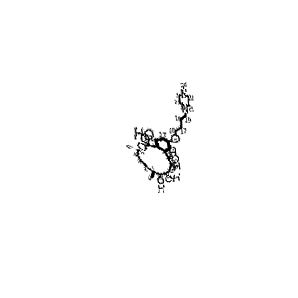 C=C1/C=C\C[C@H](C)OC(=O)c2c(O)cc(OCCCCN3CCN(C)CC3)cc2[C@H]2O[C@@H]2C[C@H](O)[C@@H]1O